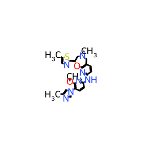 COc1nc(Nc2ccc3c(n2)OC(c2ncc(C)s2)CN(C)C3)ccc1-n1cnc(C)c1